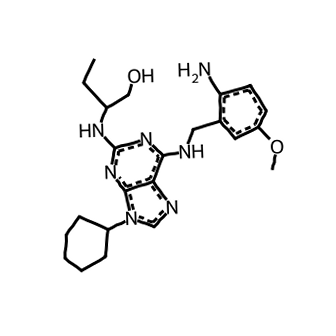 CCC(CO)Nc1nc(NCc2cc(OC)ccc2N)c2ncn(C3CCCCC3)c2n1